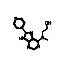 CN(CCO)c1ncnc2[nH]c(-c3ccncc3)nc12